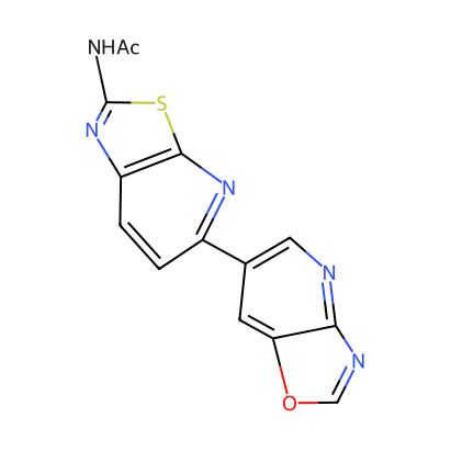 CC(=O)Nc1nc2ccc(-c3cnc4ncoc4c3)nc2s1